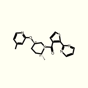 Cc1ccnc(O[C@@H]2CC[C@@H](C)N(C(=O)c3ccsc3-c3ncccn3)C2)c1